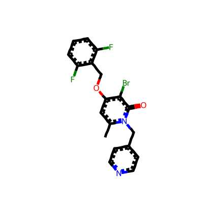 Cc1cc(OCc2c(F)cccc2F)c(Br)c(=O)n1Cc1ccncc1